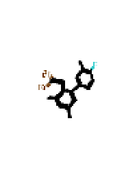 Cc1cc(C)c(C=C(Br)Br)c(-c2ccc(F)c(C)c2)c1